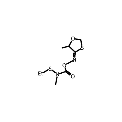 CCSN(C)C(=O)ON=C1SCOC1C